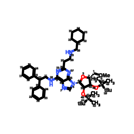 COC[C@H]1O[C@@H](n2cnc3c(NCC(c4ccccc4)c4ccccc4)nc(CCNCC4CCCCC4)nc32)[C@H](O[Si](C)(C)C(C)(C)C)[C@@H]1O[Si](C)(C)C(C)(C)C